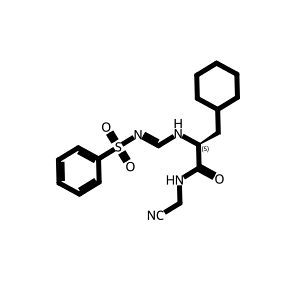 N#CCNC(=O)[C@H](CC1CCCCC1)NC=NS(=O)(=O)c1ccccc1